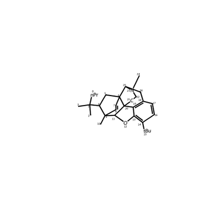 CCCC(C)(C)C1CC23C=CC1(C)C1Oc4c(C(C)(C)C)ccc5c4C12CCN(C)C3C5